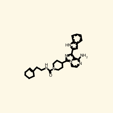 Nc1nccn2c(C3CCN(C(=O)NCCC4=CCCCC4)CC3)nc(-c3cc4ccccc4[nH]3)c12